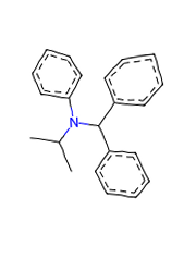 CC(C)N(c1ccccc1)C(c1ccccc1)c1ccccc1